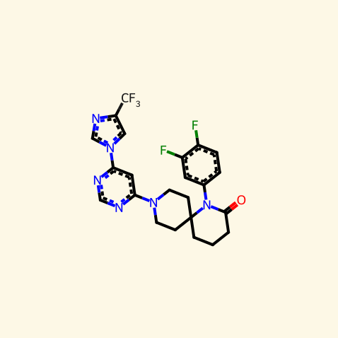 O=C1CCCC2(CCN(c3cc(-n4cnc(C(F)(F)F)c4)ncn3)CC2)N1c1ccc(F)c(F)c1